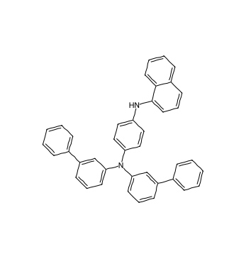 c1ccc(-c2cccc(N(c3ccc(Nc4cccc5ccccc45)cc3)c3cccc(-c4ccccc4)c3)c2)cc1